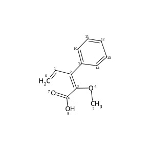 C=CC(=C(OC)C(=O)O)c1ccccc1